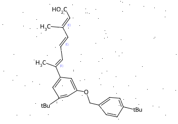 CC(/C=C/C=C(\C)c1cc(OCc2ccc(C(C)(C)C)cc2)cc(C(C)(C)C)c1)=C\C(=O)O